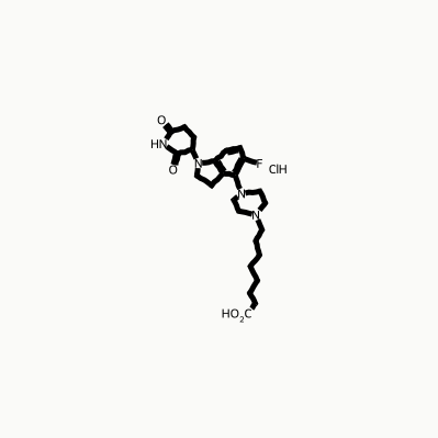 Cl.O=C(O)CCCCCCCN1CCN(c2c(F)ccc3c2CCN3C2CCC(=O)NC2=O)CC1